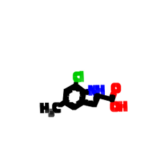 Cc1cc(Cl)c2[nH]c(C(=O)O)cc2c1